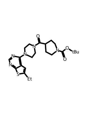 CCc1cc2c(N3CCN(C(=O)C4CCN(C(=O)OC(C)(C)C)CC4)CC3)ncnc2s1